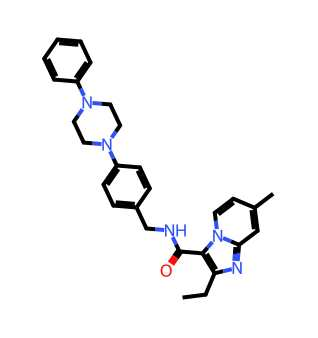 CCc1nc2cc(C)ccn2c1C(=O)NCc1ccc(N2CCN(c3ccccc3)CC2)cc1